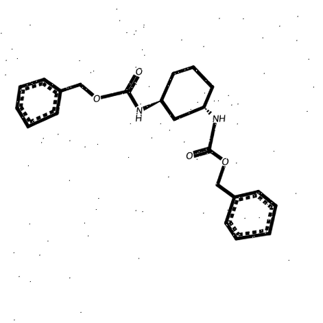 O=C(N[C@H]1CCC[C@H](NC(=O)OCc2ccccc2)C1)OCc1ccccc1